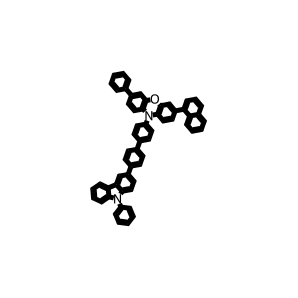 c1ccc(-c2ccc3c(c2)Oc2cc(-c4cccc5ccccc45)ccc2N3c2ccc(-c3ccc(-c4ccc5c(c4)c4ccccc4n5-c4ccccc4)cc3)cc2)cc1